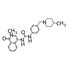 CC1CCN(Cc2ccc(NC(=O)Nc3cn(C)c(=O)c4ccccc34)cc2)CC1